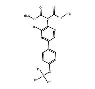 CC(C)[Si](Oc1ccc(-c2cnc(N(C(=O)OC(C)(C)C)C(=O)OC(C)(C)C)c(Br)n2)cc1)(C(C)C)C(C)C